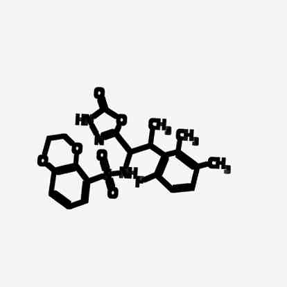 Cc1ccc(F)c(C(C)C(NS(=O)(=O)c2cccc3c2OCCO3)c2n[nH]c(=O)o2)c1C